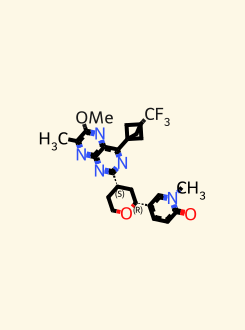 COc1nc2c(C34CC(C(F)(F)F)(C3)C4)nc([C@H]3CCO[C@@H](c4ccc(=O)n(C)c4)C3)nc2nc1C